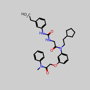 CN(C(=O)COc1cccc(N(CCC2CCCC2)C(=O)CNC(=O)Nc2cccc(CC(=O)O)c2)c1)c1ccccc1